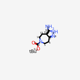 CC(C)(C)OC(=O)N1CCc2n[nH]c(N)c2CC1